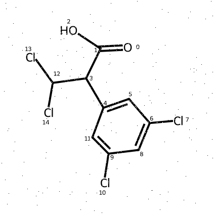 O=C(O)C(c1cc(Cl)cc(Cl)c1)C(Cl)Cl